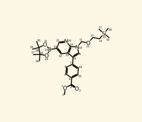 COC(=O)c1ccc(-c2cn(COCC[Si](C)(C)C)c3ncc(B4OC(C)(C)C(C)(C)O4)cc23)cc1